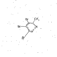 Cc1ncc(Br)c(Br)c1Br